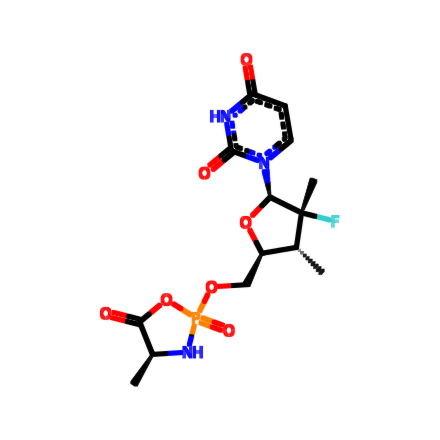 C[C@@H]1NP(=O)(OC[C@H]2O[C@@H](n3ccc(=O)[nH]c3=O)[C@](C)(F)[C@@H]2C)OC1=O